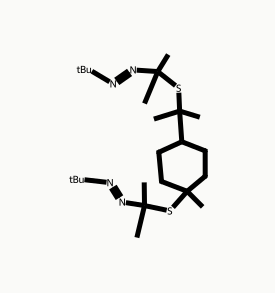 CC(C)(C)N=NC(C)(C)SC1(C)CCC(C(C)(C)SC(C)(C)N=NC(C)(C)C)CC1